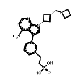 Nc1ncnc2c1c(-c1cccc(CCP(=O)(O)O)c1)cn2[C@H]1C[C@@H](CN2CCC2)C1